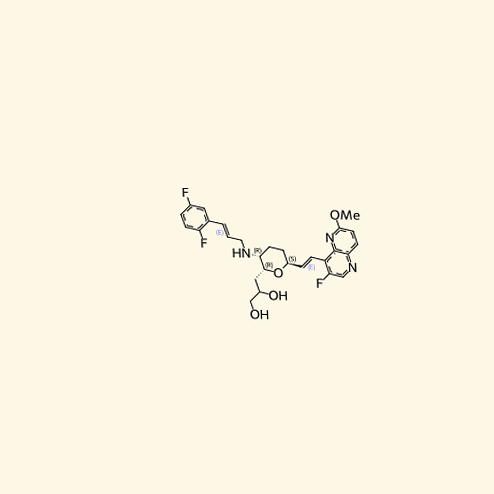 COc1ccc2ncc(F)c(/C=C/[C@@H]3CC[C@@H](NC/C=C/c4cc(F)ccc4F)[C@@H](CC(O)CO)O3)c2n1